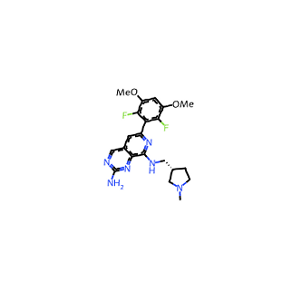 COc1cc(OC)c(F)c(-c2cc3cnc(N)nc3c(NC[C@@H]3CCN(C)C3)n2)c1F